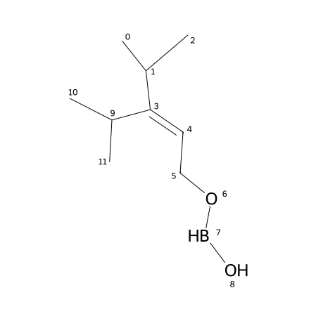 CC(C)C(=CCOBO)C(C)C